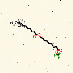 CC(C)(C)CCCCCCCC(=O)OCCCCCCCCC(=O)OC(F)(F)F